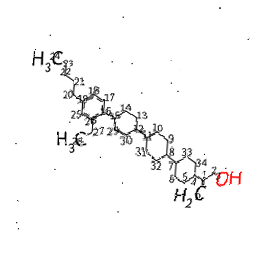 C=C(CO)C1CCC(C2CCC(C3CCC(c4ccc(CCCCC)cc4CC)CC3)CC2)CC1